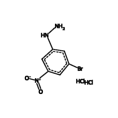 Cl.Cl.NNc1cc(Br)cc([N+](=O)[O-])c1